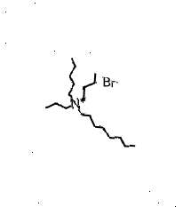 CCCCCCCC[N+](CCC)(CCCC)CCCCC.[Br-]